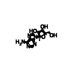 C[C@@]1(n2cnc3c(N)ncnc32)O[C@H](CO)[C@@H](O)[C@H]1O